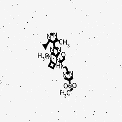 CCS(=O)(=O)c1cnc(CN/C(C=O)=N/c2cnc(-c3c(C)ncnc3C3CC3)nc2N(C)C2CCC2)nc1